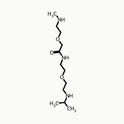 CNCCOCC(=O)NCCOCCNC(C)C